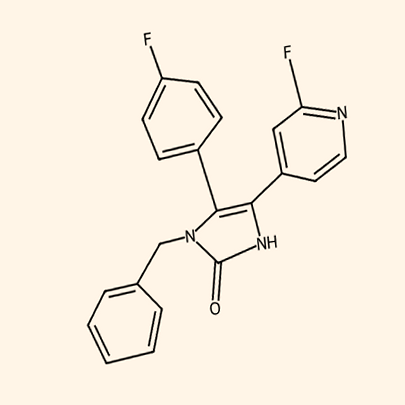 O=c1[nH]c(-c2ccnc(F)c2)c(-c2ccc(F)cc2)n1Cc1ccccc1